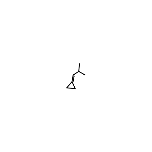 CC(C)C=C1CC1